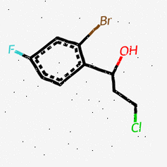 OC(CCCl)c1ccc(F)cc1Br